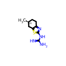 C[C@H]1CCc2nc(NC(=N)N)sc2C1